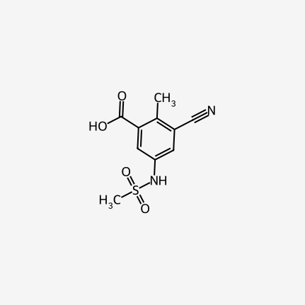 Cc1c(C#N)cc(NS(C)(=O)=O)cc1C(=O)O